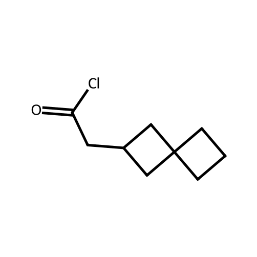 O=C(Cl)CC1CC2(CCC2)C1